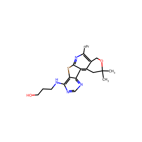 CCCc1nc2sc3c(NCCCO)ncnc3c2c2c1COC(C)(C)C2